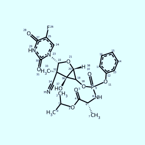 CC(C)OC(=O)[C@@H](C)NP(=O)(Oc1ccccc1)OC1[C@H]2O[C@@H](n3cc(F)c(=O)[nH]c3=O)[C@](C)(C#N)[C@@]12O